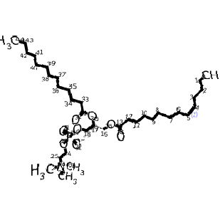 CCCC/C=C\CCCCCCCC(=O)OC[C@H](COP(=O)([O-])OCC[N+](C)(C)C)OC(=O)CCCCCCCCCCCC